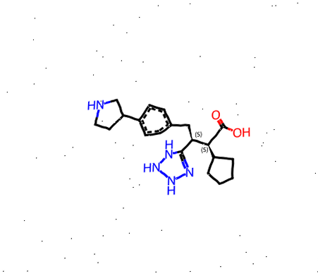 O=C(O)[C@@H](C1CCCC1)[C@H](Cc1ccc(C2CCNC2)cc1)C1=NNNN1